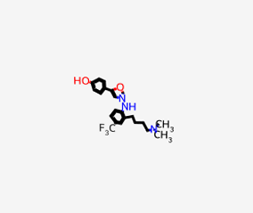 CN(C)CCCCc1cc(C(F)(F)F)ccc1NN1C=C(c2ccc(O)cc2)OC1